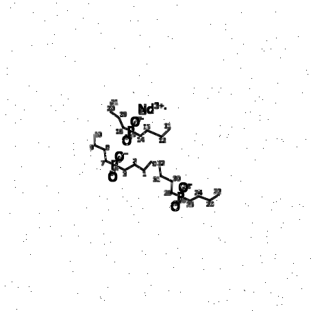 CCCCP(=O)([O-])CCCC.CCCCP(=O)([O-])CCCC.CCCCP(=O)([O-])CCCC.[Nd+3]